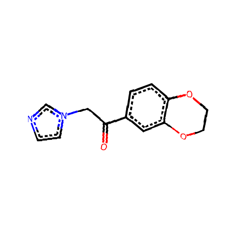 O=C(Cn1ccnc1)c1ccc2c(c1)OCCO2